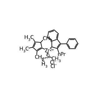 CCCC1=C(c2ccccc2)c2ccccc2[CH]1[Zr+2]([C]1=C(C)C(C)=C(C)C1C)=[Si](C)C.[Cl-].[Cl-]